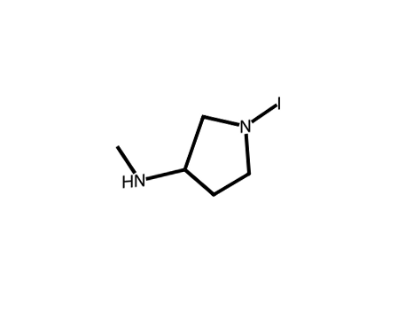 CNC1CCN(I)C1